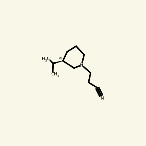 CC(C)[C@H]1CCCN(CCC#N)C1